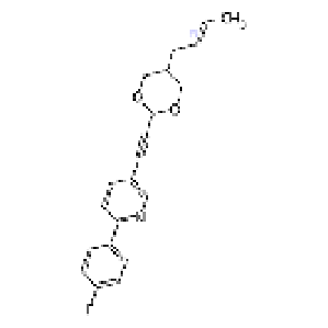 C/C=C/CC1COC(C#Cc2ccc(-c3ccc(F)cc3)nc2)OC1